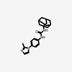 Cc1nccn1-c1ccc(NC(=O)NC23CC4CC(CC(C4)C2)C3)cc1